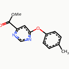 COC(=O)c1cc(Oc2ccc(C)cc2)ncn1